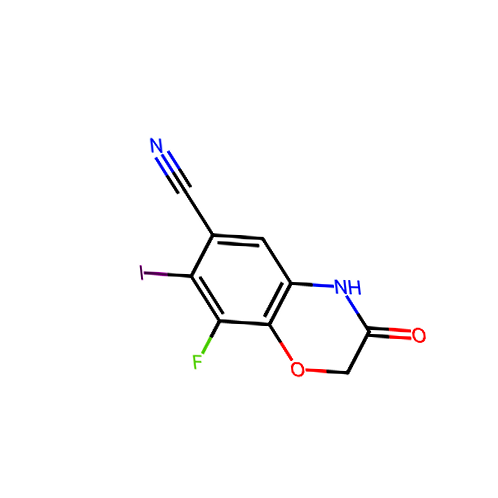 N#Cc1cc2c(c(F)c1I)OCC(=O)N2